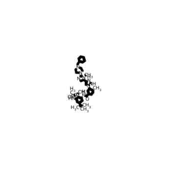 COc1c(NC(=O)c2ccc(C)c(N3C=C(C4CN=C(N5CCN(Cc6ccccc6)CC5)N4C)NN3)c2)cc(C(C)(C)C)cc1NS(C)(=O)=O